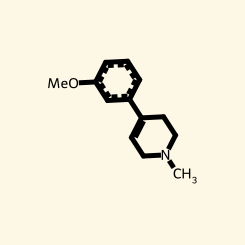 COc1cccc(C2=CCN(C)CC2)c1